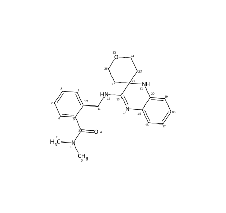 CN(C)C(=O)c1ccccc1CNC1=Nc2ccccc2NC12CCOCC2